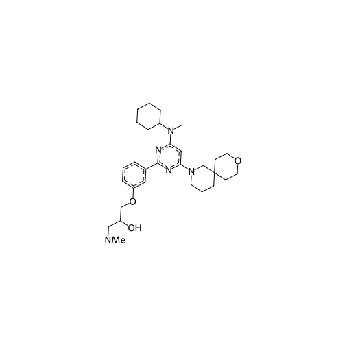 CNCC(O)COc1cccc(-c2nc(N3CCCC4(CCOCC4)C3)cc(N(C)C3CCCCC3)n2)c1